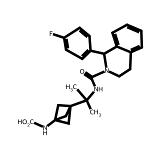 CC(C)(NC(=O)N1CCc2ccccc2C1c1ccc(F)cc1)C12CC(NC(=O)O)(C1)C2